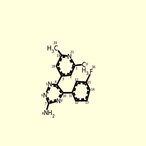 Cc1cc(-c2nnc(N)nc2-c2cccc(F)c2)cc(C)n1